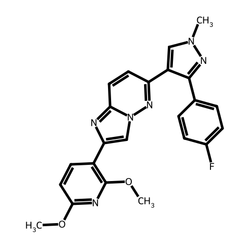 COc1ccc(-c2cn3nc(-c4cn(C)nc4-c4ccc(F)cc4)ccc3n2)c(OC)n1